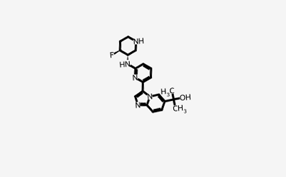 CC(C)(O)c1ccc2ncc(-c3cccc(N[C@H]4CNCC[C@@H]4F)n3)n2c1